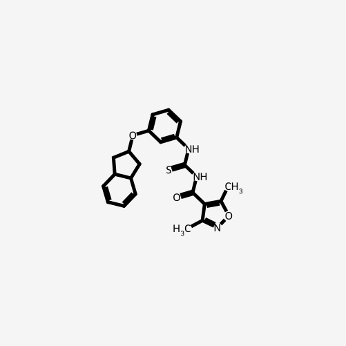 Cc1noc(C)c1C(=O)NC(=S)Nc1cccc(OC2CC3C=CC=CC3C2)c1